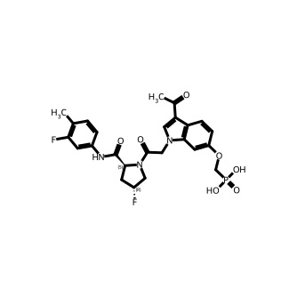 CC(=O)c1cn(CC(=O)N2C[C@H](F)C[C@H]2C(=O)Nc2ccc(C)c(F)c2)c2cc(OCP(=O)(O)O)ccc12